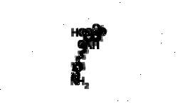 NN=Cc1ccc(CCCCC(=O)NC(CC(=O)O)c2ccc3c(c2)OCO3)cc1